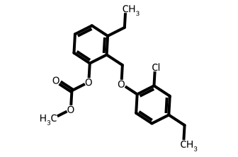 CCc1ccc(OCc2c(CC)cccc2OC(=O)OC)c(Cl)c1